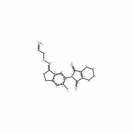 C=CCON=C1CCc2cc(F)c(N3C(=O)C4=C(CCCC4)C3=O)cc21